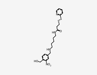 O=C(CCSSc1ccccn1)NCCCCCNCc1ccc(CO)c([N+](=O)[O-])c1